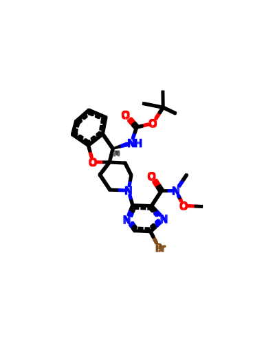 CON(C)C(=O)c1nc(Br)cnc1N1CCC2(CC1)Oc1ccccc1[C@H]2NC(=O)OC(C)(C)C